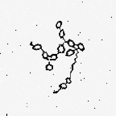 C=Cc1ccc(-c2ccc(OCCCCCCCCC3(c4ccccc4)c4ccccc4-c4ccc(N(c5ccc(-c6ccccc6)cc5)c5ccc(-c6ccc7c(c6)c6cc(-c8ccc(C=C)cc8)ccc6n7-c6ccccc6)cc5)cc43)cc2)cc1